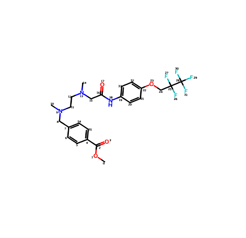 COC(=O)c1ccc(CN(C)CCN(C)CC(=O)Nc2ccc(OCC(F)(F)C(F)(F)F)cc2)cc1